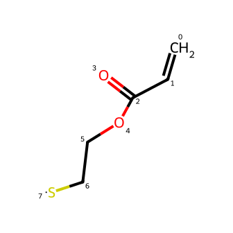 C=CC(=O)OCC[S]